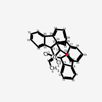 C[CH]=[Zr]([Cl])([Cl])([CH]1C=Cc2ccccc21)([CH]1C=Cc2ccccc21)[CH]1c2ccccc2-c2ccccc21